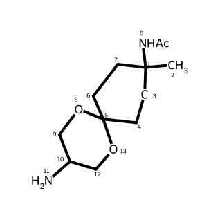 CC(=O)NC1(C)CCC2(CC1)OCC(N)CO2